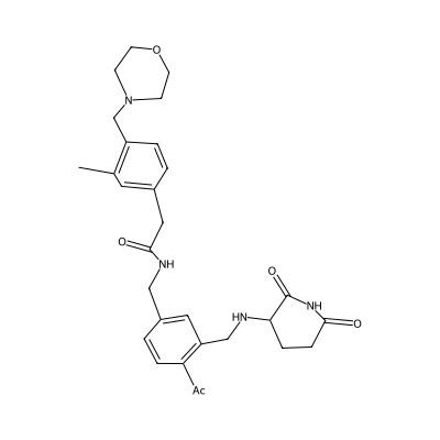 CC(=O)c1ccc(CNC(=O)Cc2ccc(CN3CCOCC3)c(C)c2)cc1CNC1CCC(=O)NC1=O